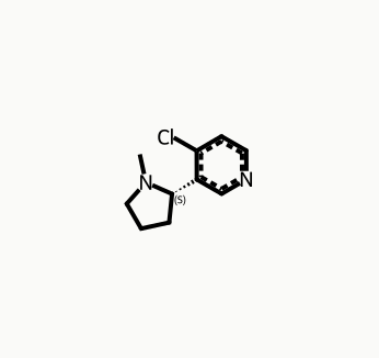 CN1CCC[C@H]1c1cnccc1Cl